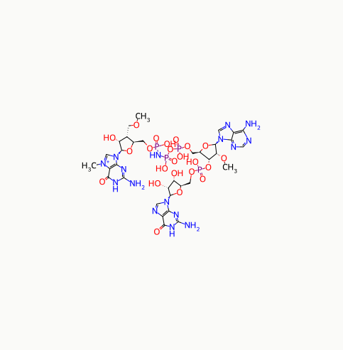 COC[C@H]1[C@@H](O)[C@H](n2c[n+](C)c3c(=O)[nH]c(N)nc32)O[C@@H]1COP(=O)(O)NP(=O)(O)OP(=O)(O)OC[C@H]1O[C@@H](n2cnc3c(N)ncnc32)[C@H](OC)[C@@H]1OP(=O)(O)OC[C@H]1O[C@@H](n2cnc3c(=O)[nH]c(N)nc32)[C@H](O)[C@@H]1O